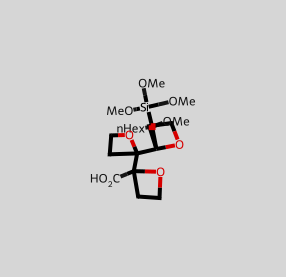 CCCCCCC(OC)(C1(C2(C3(C(=O)O)CCO3)CCO2)CCO1)[Si](OC)(OC)OC